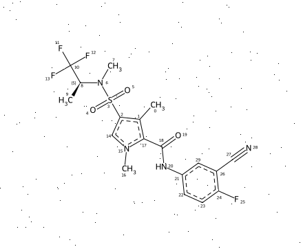 Cc1c(S(=O)(=O)N(C)[C@@H](C)C(F)(F)F)cn(C)c1C(=O)Nc1ccc(F)c(C#N)c1